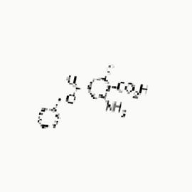 Nc1cc(C(=O)OCc2ccccc2)cc(Cl)c1C(=O)O